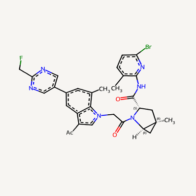 CC(=O)c1cn(CC(=O)N2[C@H](C(=O)Nc3nc(Br)ccc3C)C[C@@]3(C)C[C@@H]23)c2c(C)cc(-c3cnc(CF)nc3)cc12